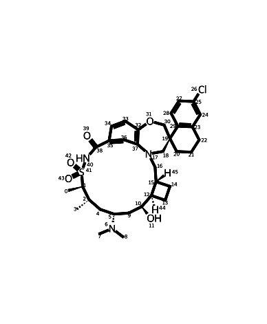 C[C@@H]1[C@@H](C)C[C@@H](N(C)C)C[C@H](O)[C@@H]2CC[C@H]2CN2C[C@@]3(CCCc4cc(Cl)ccc43)COc3ccc(cc32)C(=O)NS1(=O)=O